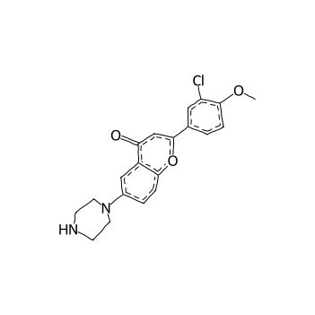 COc1ccc(-c2cc(=O)c3cc(N4CCNCC4)ccc3o2)cc1Cl